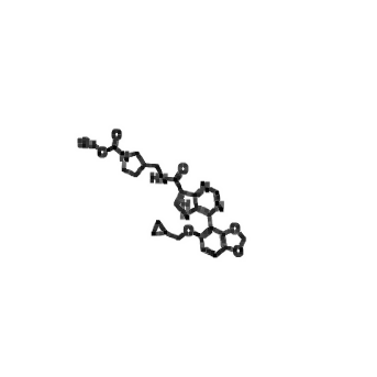 CC(C)(C)OC(=O)N1CCC(CNC(=O)c2c[nH]c3c(-c4c(OCC5CC5)ccc5c4OCO5)ncnc23)C1